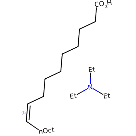 CCCCCCCC/C=C\CCCCCCCC(=O)O.CCN(CC)CC